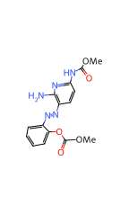 COC(=O)Nc1ccc(/N=N/c2ccccc2OC(=O)OC)c(N)n1